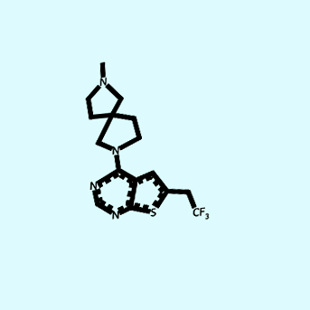 CN1CCC2(CCN(c3ncnc4sc(CC(F)(F)F)cc34)C2)C1